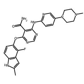 Cc1cc2c(F)c(Oc3ncnc(Nc4ccc(N5CCN(C)CC5)cn4)c3C(N)=O)ccc2[nH]1